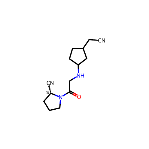 N#CCC1CCC(NCC(=O)N2CCC[C@H]2C#N)C1